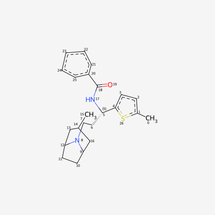 Cc1ccc([C@H](CCN2C3CCC2CC(C)C3)NC(=O)c2ccccc2)s1